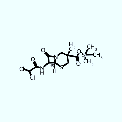 CC1(C(=O)O[Si](C)(C)C)CS[C@@H]2C(NC(=O)C(Cl)Cl)C(=O)N2C1